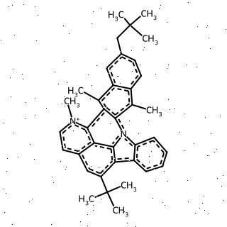 Cc1c2cc(CC(C)(C)C)ccc2c(C)c2c1c1c3c(cc[n+]1C)cc(C(C)(C)C)c1c4ccccc4n2c13